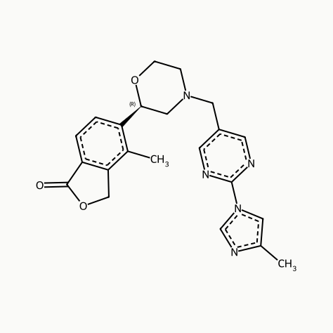 Cc1cn(-c2ncc(CN3CCO[C@H](c4ccc5c(c4C)COC5=O)C3)cn2)cn1